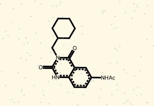 CC(=O)Nc1ccc2[nH]c(=O)n(CC3CCCCC3)c(=O)c2c1